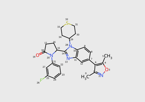 Cc1noc(C)c1-c1ccc2c(c1)nc(C1CCC(=O)N1c1cccc(F)c1)n2C1CCSCC1